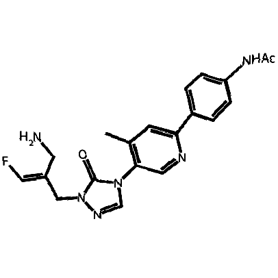 CC(=O)Nc1ccc(-c2cc(C)c(-n3cnn(C/C(=C/F)CN)c3=O)cn2)cc1